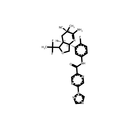 CC(F)(F)C1OC[C@]2(c3cc(NC(=O)c4cnc(-n5cncn5)cn4)ccc3F)N=C(N)[C@](C)(C#N)C[C@H]12